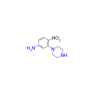 Nc1ccc([N+](=O)[O-])c(N2CCNCC2)c1